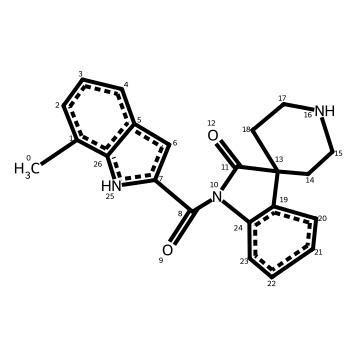 Cc1cccc2cc(C(=O)N3C(=O)C4(CCNCC4)c4ccccc43)[nH]c12